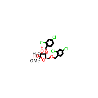 CO[C@]1(O)O[C@H](COCc2ccc(Cl)cc2Cl)[C@@H](OCc2ccc(Cl)cc2Cl)[C@@]1(C)O